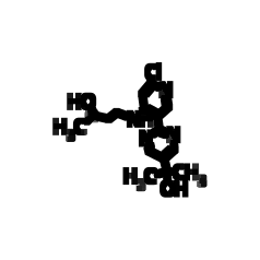 C[C@@H](O)CCNc1cc(Cl)ncc1-c1ncc(C(C)(C)O)cn1